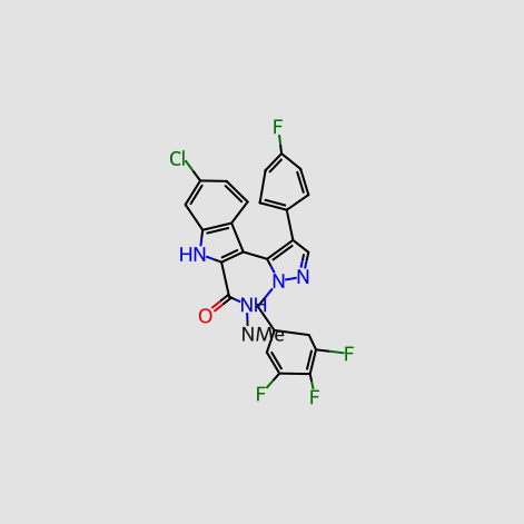 CNNC(=O)c1[nH]c2cc(Cl)ccc2c1-c1c(-c2ccc(F)cc2)cnn1CC1C=C(F)C(F)=C(F)C1